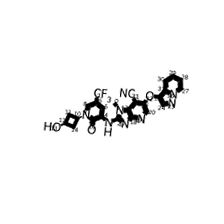 Cn1c(Nc2cc(C(F)(F)F)cn([C@H]3C[C@H](O)C3)c2=O)nc2ncc(Oc3cnn4ccccc34)c(C#N)c21